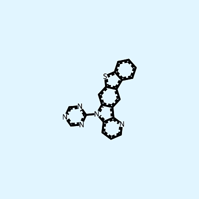 c1ccc2c(c1)sc1cc3c(cc12)c1ncccc1n3-c1ncncn1